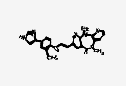 CCN1c2ncc(CCOc3ccc(-c4c[nH]cn4)cc3C)cc2C(=O)N(C)c2cccnc21